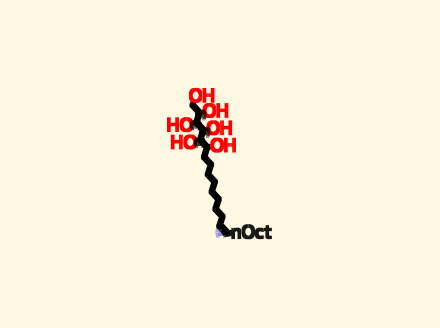 CCCCCCCC/C=C\CCCCCCCCC(O)[C@H](O)[C@@H](O)[C@H](O)[C@H](O)CO